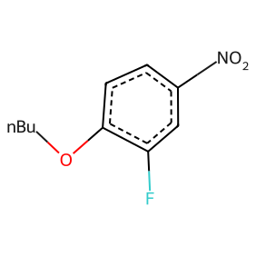 CCCCOc1ccc([N+](=O)[O-])cc1F